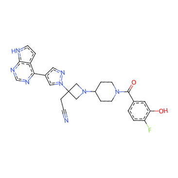 N#CCC1(n2cc(-c3ncnc4[nH]ccc34)cn2)CN(C2CCN(C(=O)c3ccc(F)c(O)c3)CC2)C1